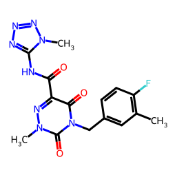 Cc1cc(Cn2c(=O)c(C(=O)Nc3nnnn3C)nn(C)c2=O)ccc1F